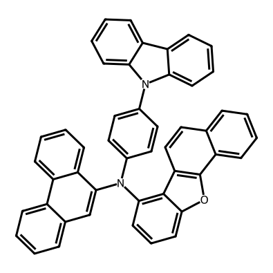 c1ccc2c(c1)cc(N(c1ccc(-n3c4ccccc4c4ccccc43)cc1)c1cccc3oc4c5ccccc5ccc4c13)c1ccccc12